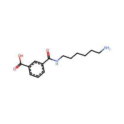 NCCCCCCNC(=O)c1cccc(C(=O)O)c1